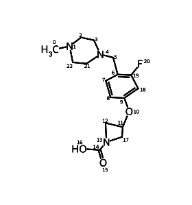 CN1CCN(Cc2ccc(OC3CN(C(=O)O)C3)cc2F)CC1